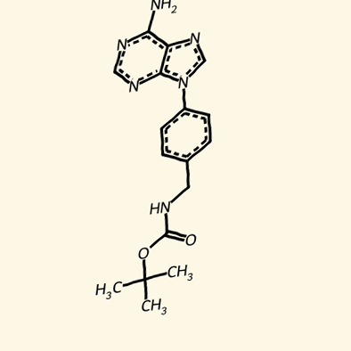 CC(C)(C)OC(=O)NCc1ccc(-n2cnc3c(N)ncnc32)cc1